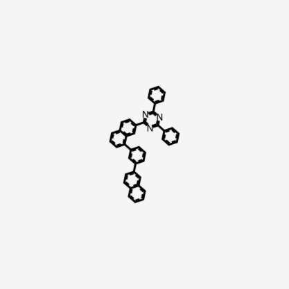 c1ccc(-c2nc(-c3ccccc3)nc(-c3ccc4cccc(-c5cccc(-c6ccc7ccccc7c6)c5)c4c3)n2)cc1